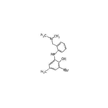 Cc1cc(Pc2ccccc2CN(C)C)c(O)c(C(C)(C)C)c1